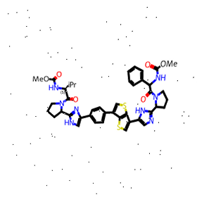 COC(=O)NC(C(=O)N1CCCC1c1ncc(-c2csc3c(-c4ccc(-c5c[nH]c(C6CCCN6C(=O)[C@@H](NC(=O)OC)C(C)C)n5)cc4)csc23)[nH]1)c1ccccc1